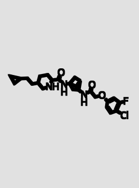 O=C(COc1ccc(Cl)c(F)c1)NC1CC2(NC(=O)C3CCC(CCC4CC4)CN3)CC1C2